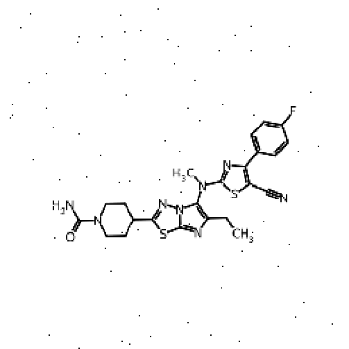 CCc1nc2sc(C3CCN(C(N)=O)CC3)nn2c1N(C)c1nc(-c2ccc(F)cc2)c(C#N)s1